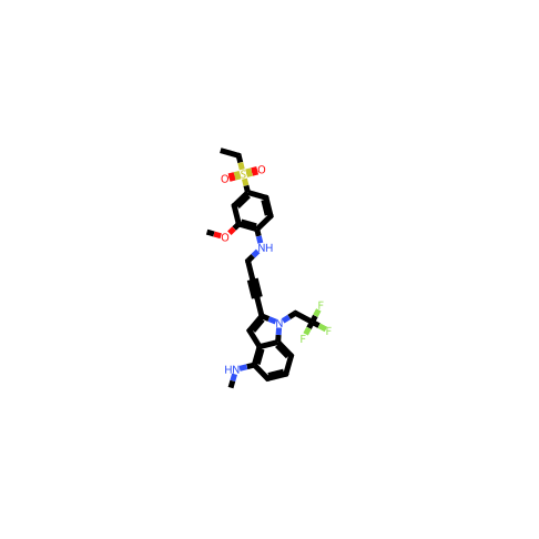 CCS(=O)(=O)c1ccc(NCC#Cc2cc3c(NC)cccc3n2CC(F)(F)F)c(OC)c1